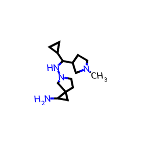 CN1CCC(C(NN2CCC3(CC3N)C2)C2CC2)C1